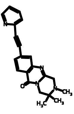 CN1Cc2nc3cc(C#Cc4ccccn4)ccc3c(=O)n2CC1(C)C